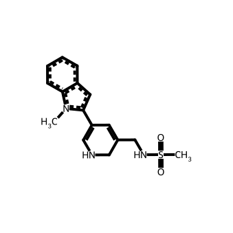 Cn1c(C2=CNCC(CNS(C)(=O)=O)=C2)cc2ccccc21